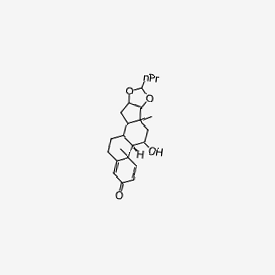 CCCC1OC2CC3C4CCC5=CC(=O)C=CC5(C)[C@H]4C(O)CC3(C)C2O1